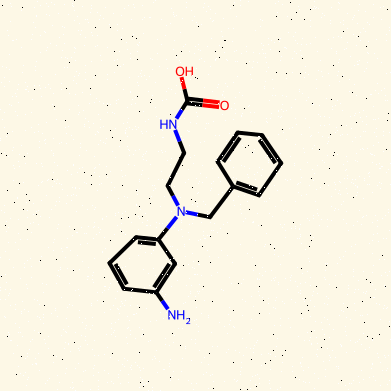 Nc1cccc(N(CCNC(=O)O)Cc2ccccc2)c1